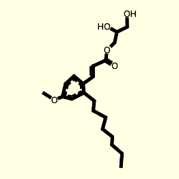 CCCCCCCCc1cc(OC)ccc1C=CC(=O)OCC(O)CO